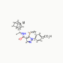 CCCSc1c(C(=O)NC(C)[C@H]2C[C@@H]3CC4CC2(C4)C3)cnn1-c1ccc(C(=O)O)cc1